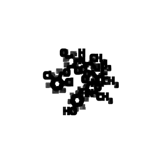 CC(=O)N[C@@H](Cc1ccc(O)cc1)C(=O)N[C@H](C(=O)N[C@@H](C)C(=O)N[C@@H](CC=O)C(=O)COCc1c(Cl)cccc1Cl)C(C)C